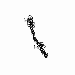 O=C1CCC(N2C(=O)c3ccc(N4CCN(CCC5CCN(c6ccc(C(=O)Nc7ccc(N8CCN(c9ccccn9)CC8)cc7)c(F)c6)CC5)CC4)cc3C2=O)C(=O)N1